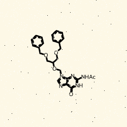 CC(=O)Nc1nc2c(ncn2COC(COCc2ccccc2)COCc2ccccc2)c(=O)[nH]1